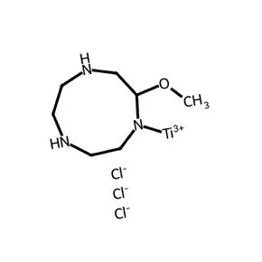 COC1CNCCNCC[N]1[Ti+3].[Cl-].[Cl-].[Cl-]